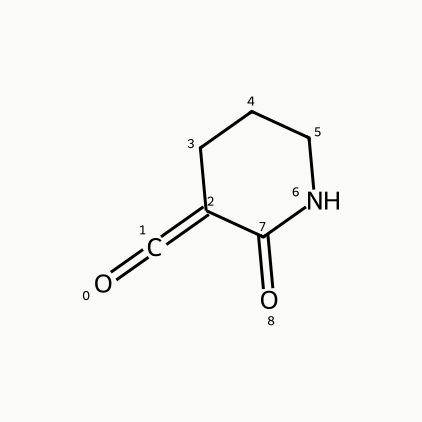 O=C=C1CCCNC1=O